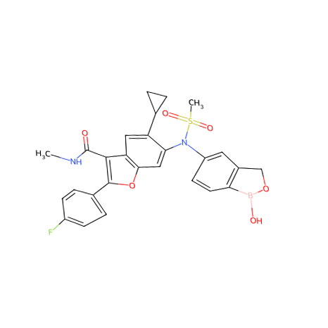 CNC(=O)c1c(-c2ccc(F)cc2)oc2cc(N(c3ccc4c(c3)COB4O)S(C)(=O)=O)c(C3CC3)cc12